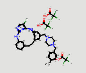 O=C(O)C(F)(F)F.O=C(O)C(F)(F)F.O=C(O)C(F)(F)F.O=[N+]([O-])c1ccc(CN2CCN(Cc3cc4cc(c3)Nc3nc(ncc3Cl)Nc3cccc(c3)CC4)CC2)cc1